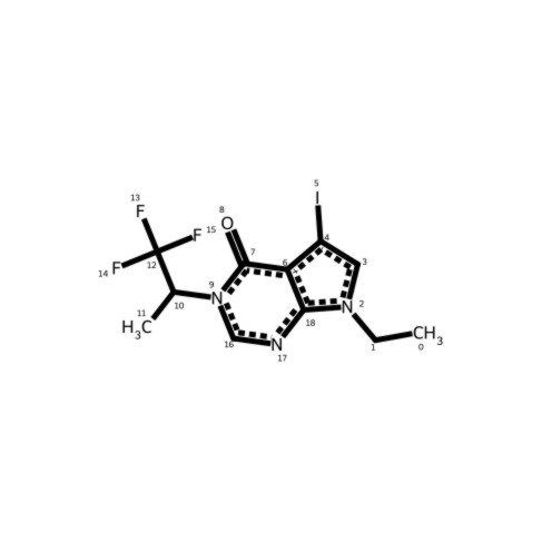 CCn1cc(I)c2c(=O)n(C(C)C(F)(F)F)cnc21